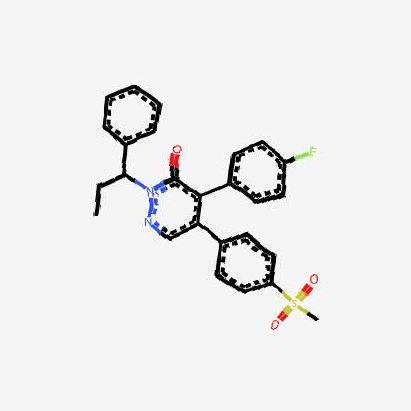 CCC(c1ccccc1)n1ncc(-c2ccc(S(C)(=O)=O)cc2)c(-c2ccc(F)cc2)c1=O